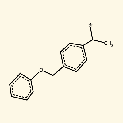 CC(Br)c1ccc(COc2[c]cccc2)cc1